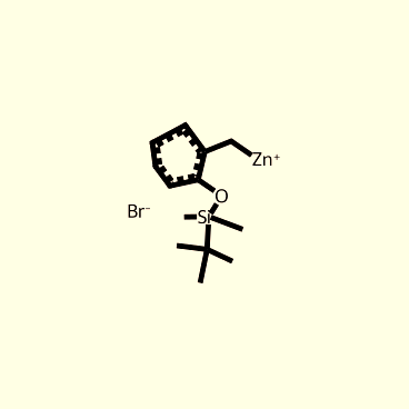 CC(C)(C)[Si](C)(C)Oc1ccccc1[CH2][Zn+].[Br-]